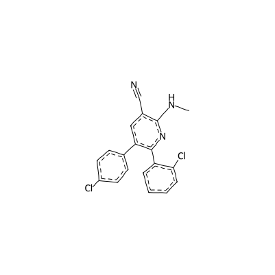 CNc1nc(-c2ccccc2Cl)c(-c2ccc(Cl)cc2)cc1C#N